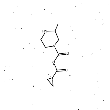 CC1CN(C(=O)OC(=O)C2CC2)CCN1